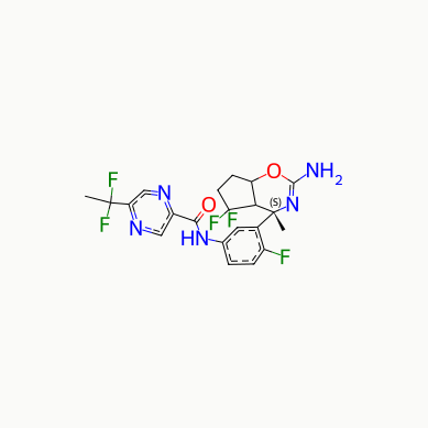 CC(F)(F)c1cnc(C(=O)Nc2ccc(F)c([C@@]3(C)N=C(N)OC4CCC(F)(F)C43)c2)cn1